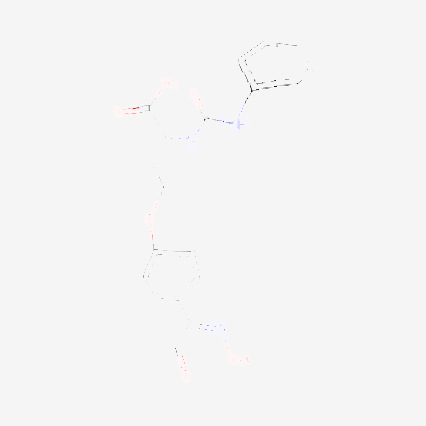 O=[C]C(=NO)c1ccc(OCCC(NC(=O)Nc2ccccc2)C(=O)O)cc1